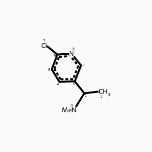 CNC(C)c1ccc(Cl)nc1